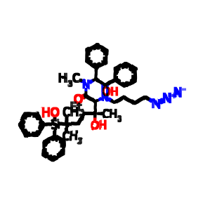 CC[C@@H](CC(C)(C)[Si](O)(c1ccccc1)c1ccccc1)[C@@](C)(O)[C@H](NCCCCN=[N+]=[N-])C(=O)N(C)[C@@H](c1ccccc1)[C@@H](O)c1ccccc1